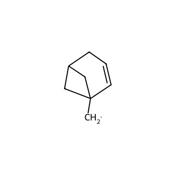 [CH2]C12C=CCC(C1)C2